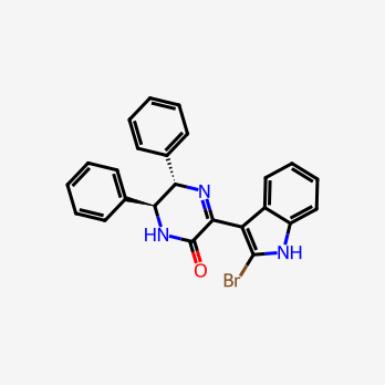 O=C1N[C@@H](c2ccccc2)[C@H](c2ccccc2)N=C1c1c(Br)[nH]c2ccccc12